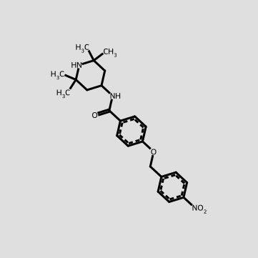 CC1(C)CC(NC(=O)c2ccc(OCc3ccc([N+](=O)[O-])cc3)cc2)CC(C)(C)N1